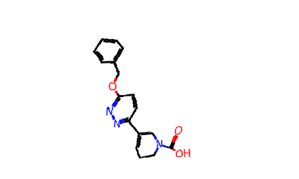 O=C(O)N1CCC=C(c2ccc(OCc3ccccc3)nn2)C1